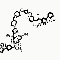 CC(C)[C@@H](C(=O)N1C[C@H](O)C[C@H]1C(=O)N[C@@H](C)c1ccc(-c2ccnn2C)cc1)c1cc(N2CCC(CN3CCC(OC4CC(Oc5cc(C=C(F)c6cc(-c7ccccc7O)nnc6N)ccn5)C4)CC3)CC2)no1